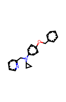 c1ccc(COc2ccc(N(Cc3ccccn3)C3CC3)cc2)cc1